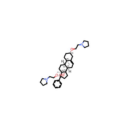 C[C@]12CC[C@H]3[C@@H](CC=C4C[C@@H](OCCN5CCCC5)CC[C@@]43C)[C@@]1(O)CC[C@@]2(OCCN1CCCC1)c1ccccc1